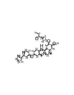 C=CC(=O)N1CC(Oc2cc3c(Nc4ccc(Oc5ccnc(-c6cscn6)c5)cc4F)ncnc3cc2OC)C1